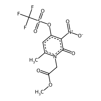 COC(=O)Cn1c(C)cc(OS(=O)(=O)C(F)(F)F)c([N+](=O)[O-])c1=O